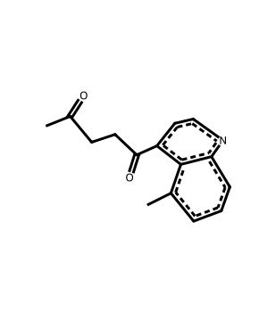 CC(=O)CCC(=O)c1ccnc2cccc(C)c12